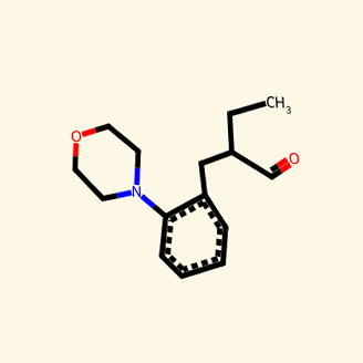 CCC(C=O)Cc1ccccc1N1CCOCC1